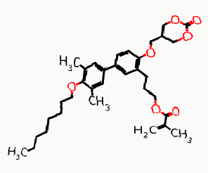 C=C(C)C(=O)OCCCc1cc(-c2cc(C)c(OCCCCCCCC)c(C)c2)ccc1OCC1COC(=O)OC1